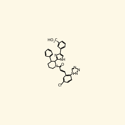 O=C(O)c1cccc(-c2c[nH]c(C3C(c4ccccc4)CCCN3C(=O)C=Cc3cc(Cl)ccc3-n3cnnn3)n2)c1